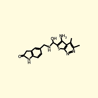 Cc1nnc2sc(C(O)NCc3ccc4c(c3)CC(=O)N4)c(N)c2c1C